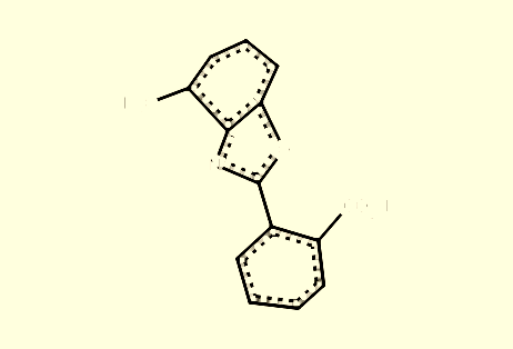 Cc1cccc2oc(-c3ccccc3C(=O)O)nc12